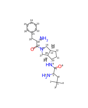 CC(C)(C)CC(N)C(=O)N[C@H]1CC[C@@H]2CN(C(=O)[C@@H](N)Cc3ccccc3)C[C@@H]21